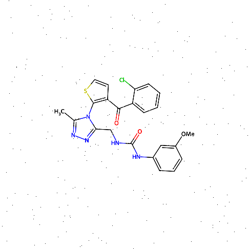 COc1cccc(NC(=O)NCc2nnc(C)n2-c2sccc2C(=O)c2ccccc2Cl)c1